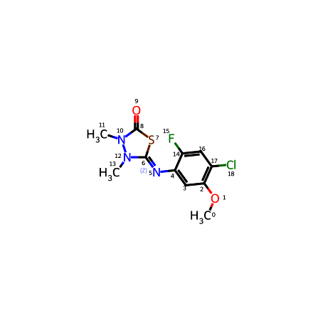 COc1cc(/N=c2\sc(=O)n(C)n2C)c(F)cc1Cl